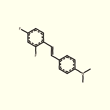 CN(C)c1ccc(C=Cc2ccc(F)cc2F)cc1